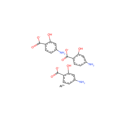 Nc1ccc(C(=O)[O-])c(O)c1.Nc1ccc(C(=O)[O-])c(O)c1.Nc1ccc(C(=O)[O-])c(O)c1.[Al+3]